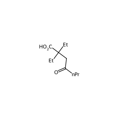 CCCC(=O)CC(CC)(CC)C(=O)O